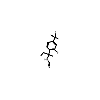 CCC(C)(NC=O)c1ccc(C(F)(F)F)cc1F